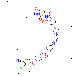 N#Cc1ccc(O[C@H]2CC[C@H](NC(=O)c3ccc(N4CC(CN5CCN(c6ccc7c(c6)C(=O)N(C6CCC(=O)NC6=O)C7=O)CC5)C4)cc3)CC2)cc1Cl